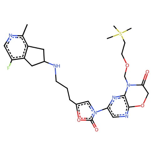 Cc1ncc(F)c2c1CC(NCCCc1cn(-c3cnc4c(n3)N(COCCS(C)(C)C)C(=O)CO4)c(=O)o1)C2